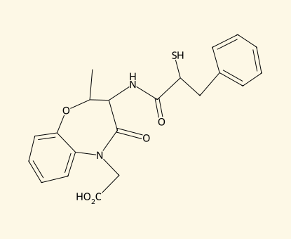 CC1Oc2ccccc2N(CC(=O)O)C(=O)C1NC(=O)C(S)Cc1ccccc1